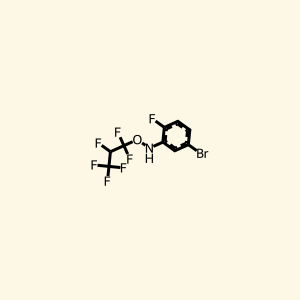 Fc1ccc(Br)cc1NOC(F)(F)C(F)C(F)(F)F